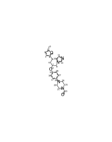 Cc1ccc(CCC(Cn2ccnc2)Oc2ccc(N3CCN(C=O)CC3)cc2)o1